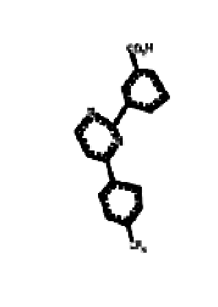 O=C(O)c1cccc(-c2nccc(-c3ccc(C(F)(F)F)cc3)n2)c1